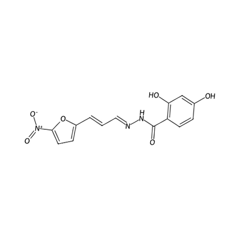 O=C(NN=CC=Cc1ccc([N+](=O)[O-])o1)c1ccc(O)cc1O